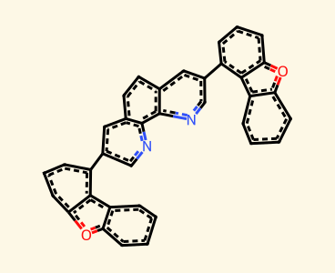 c1ccc2c(c1)oc1cccc(-c3cnc4c(ccc5cc(-c6cccc7oc8ccccc8c67)cnc54)c3)c12